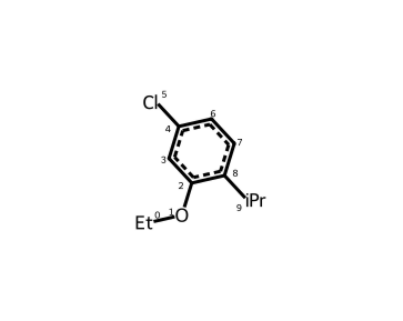 CCOc1cc(Cl)ccc1C(C)C